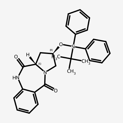 CC(C)(C)[Si](O[C@@H]1C[C@H]2C(=O)Nc3ccccc3C(=O)N2C1)(c1ccccc1)c1ccccc1